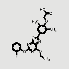 CCOc1nc(Oc2ccccc2F)nc2oc(-c3cc(C)c(OCC(=O)O)c(C)c3)nc12